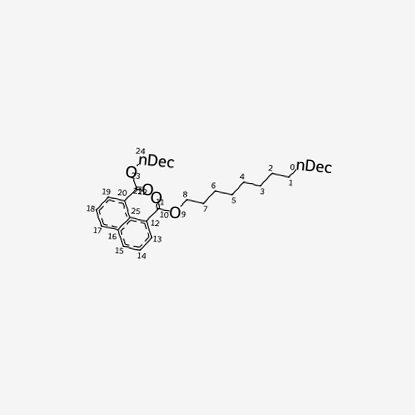 CCCCCCCCCCCCCCCCCCOC(=O)c1cccc2cccc(C(=O)OCCCCCCCCCC)c12